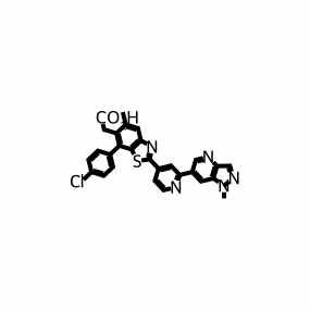 Cc1cc2nc(-c3ccnc(-c4cnc5cnn(C)c5c4)c3)sc2c(-c2ccc(Cl)cc2)c1CC(=O)O